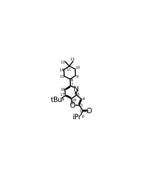 CC(C)C(=O)c1cc2nc(C3CCC(C)(C)CC3)cc(C(C)(C)C)c2o1